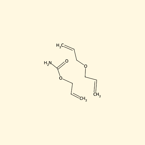 C=CCOC(N)=O.C=CCOCC=C